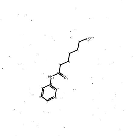 CCCCCCCCCCCCCC(=O)Nc1c[c]ccc1